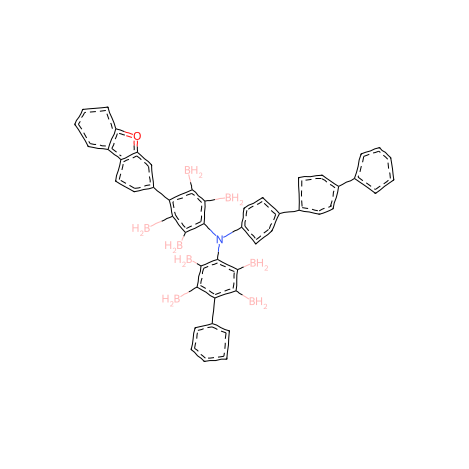 Bc1c(B)c(N(c2ccc(-c3ccc(-c4ccccc4)cc3)cc2)c2c(B)c(B)c(-c3ccc4c(c3)oc3ccccc34)c(B)c2B)c(B)c(B)c1-c1ccccc1